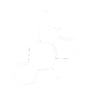 C[C@H](N)CN1C(=O)c2ccccc2N(C)c2ccc(Cl)cc21